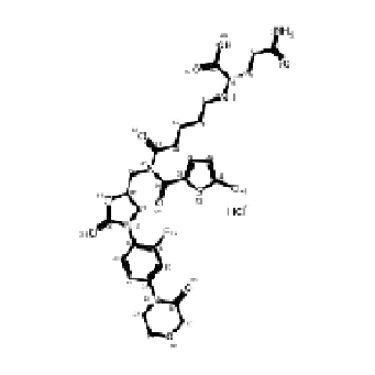 Cl.NC(=O)CC[C@H](NCCCCC(=O)N(C[C@H]1CN(c2ccc(N3CCOCC3=O)cc2F)C(=O)O1)C(=O)c1ccc(Cl)s1)C(=O)O